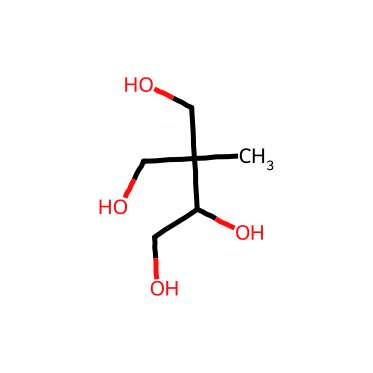 CC(CO)(CO)C(O)CO